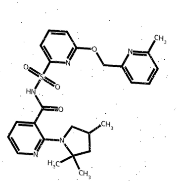 Cc1cccc(COc2cccc(S(=O)(=O)NC(=O)c3cccnc3N3CC(C)CC3(C)C)n2)n1